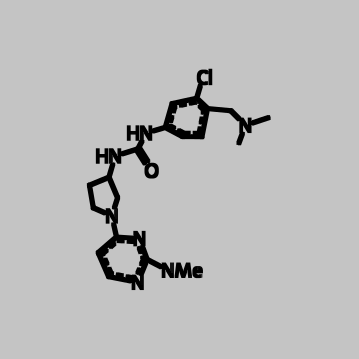 CNc1nccc(N2CCC(NC(=O)Nc3ccc(CN(C)C)c(Cl)c3)C2)n1